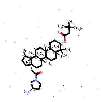 CC(C)[C@@H]1CC[C@]2(CC(=O)N3CC[C@@H](N)C3)CC[C@]3(C)[C@H](CC[C@@H]4[C@@]5(C)CC[C@H](OC(=O)CC(C)(C)C(=O)O)C(C)(C)[C@@H]5CC[C@]43C)[C@@H]12